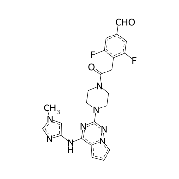 Cn1cnc(Nc2nc(N3CCN(C(=O)Cc4c(F)cc(C=O)cc4F)CC3)nn3cccc23)c1